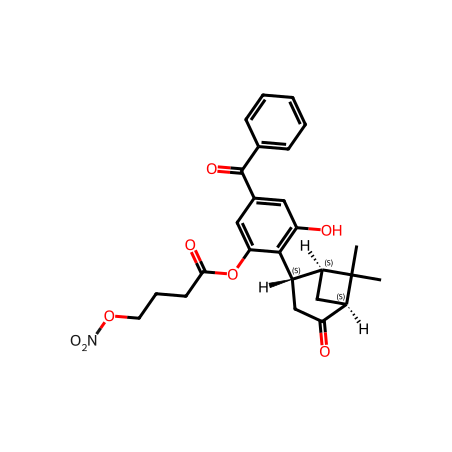 CC1(C)[C@@H]2C[C@H]1[C@@H](c1c(O)cc(C(=O)c3ccccc3)cc1OC(=O)CCCO[N+](=O)[O-])CC2=O